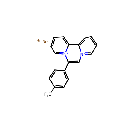 FC(F)(F)c1ccc(-c2c[n+]3ccccc3c3cccc[n+]23)cc1.[Br-].[Br-]